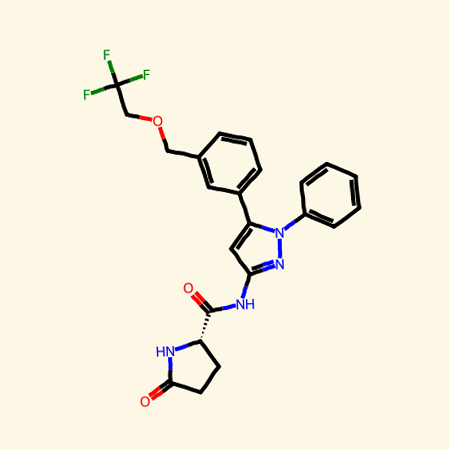 O=C1CC[C@@H](C(=O)Nc2cc(-c3cccc(COCC(F)(F)F)c3)n(-c3ccccc3)n2)N1